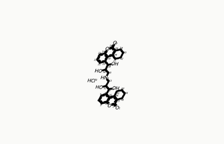 Cl.O=c1oc2cccc(C(O)C(O)CNCC(O)C(O)c3cccc4oc(=O)c5c(c34)CCCC5)c2c2c1CCCC2